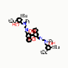 CC(C)N(CC/N=C/c1cc2ccccc2c(-c2c(O)c(/C=N/CCN(Cc3cc(C(C)(C)C)cc(C(C)(C)C)c3O)C(C)C)cc3ccccc23)c1O)Cc1cc(C(C)(C)C)cc(C(C)(C)C)c1O